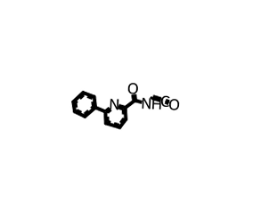 O=C=CNC(=O)c1cccc(-c2ccccc2)n1